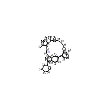 Cc1nn(C)c2c1/C=C/c1nn(C3CCCCO3)c3ccc(cc13)-c1cnn(C)c1OCCCN(C)C2=O